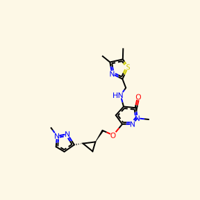 Cc1nc(CNc2cc(OC[C@H]3C[C@@H]3c3ccn(C)n3)nn(C)c2=O)sc1C